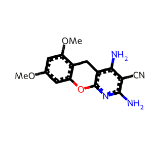 COc1cc(OC)c2c(c1)Oc1nc(N)c(C#N)c(N)c1C2